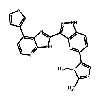 Cc1ncc(-c2ccc3[nH]nc(-c4nc5c(-c6ccsc6)ccnc5[nH]4)c3n2)n1C